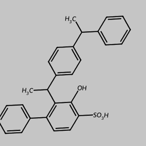 CC(c1ccccc1)c1ccc(C(C)c2c(-c3ccccc3)ccc(S(=O)(=O)O)c2O)cc1